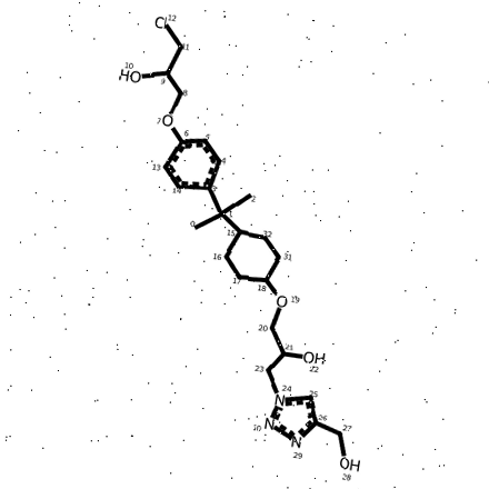 CC(C)(c1ccc(OCC(O)CCl)cc1)C1CCC(OCC(O)Cn2cc(CO)nn2)CC1